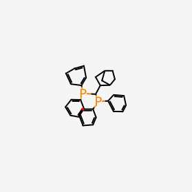 c1ccc(P(c2ccccc2)C(C2CC3CCC2C3)P(c2ccccc2)c2ccccc2)cc1